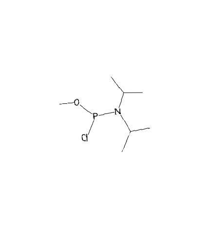 COP(Cl)N(C(C)C)C(C)C